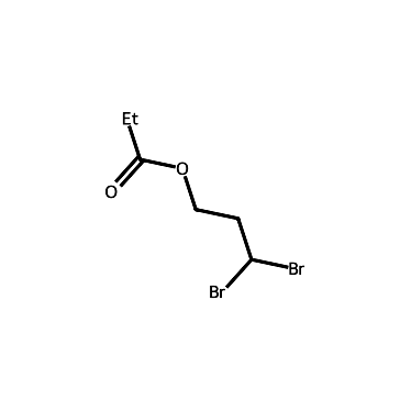 CCC(=O)OCCC(Br)Br